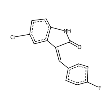 O=C1Nc2ccc(Cl)cc2C1=Cc1ccc(F)cc1